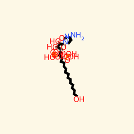 Nc1ccn([C@@H]2O[C@H](C(CCCCCCCCCCCCCCCCO)(OOP(=O)(O)O)OP(=O)(O)O)[C@@H](O)[C@H]2O)c(=O)n1